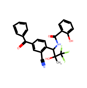 CC(O)(C(NC(=O)c1ccccc1O)c1ccc(C(=O)c2ccccc2)cc1C#N)C(F)(F)F